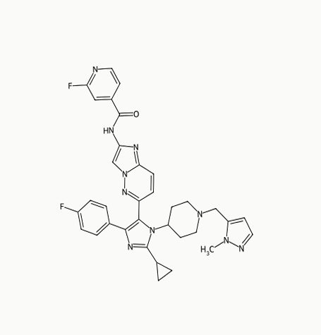 Cn1nccc1CN1CCC(n2c(C3CC3)nc(-c3ccc(F)cc3)c2-c2ccc3nc(NC(=O)c4ccnc(F)c4)cn3n2)CC1